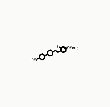 CCCCCc1ccc(CCC2CCC(C3CCC(CCC)CC3)CC2)c(F)c1